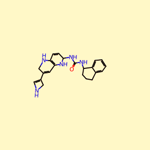 O=C(NC1C=CC2=C(C=C(C3=CNC3)CN2)N1)NC1CCCc2ccccc21